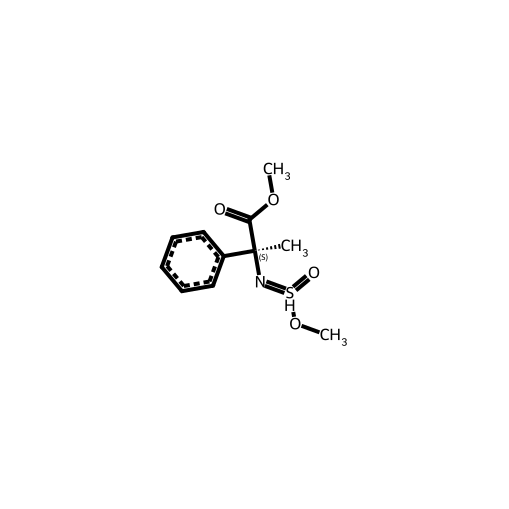 COC(=O)[C@@](C)(N=[SH](=O)OC)c1ccccc1